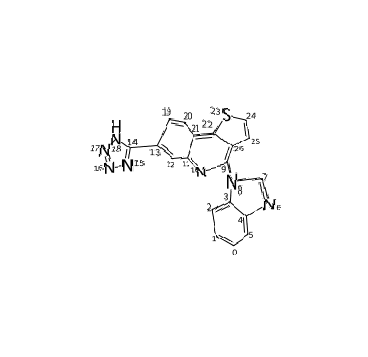 c1ccc2c(c1)ncn2-c1nc2cc(-c3nnn[nH]3)ccc2c2sccc12